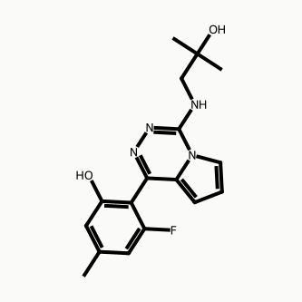 Cc1cc(O)c(-c2nnc(NCC(C)(C)O)n3cccc23)c(F)c1